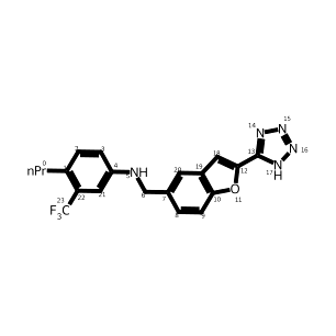 CCCc1ccc(NCc2ccc3oc(-c4nnn[nH]4)cc3c2)cc1C(F)(F)F